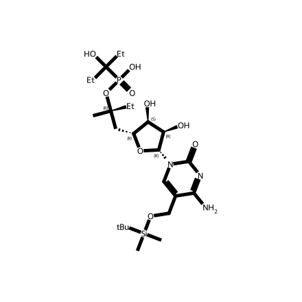 CCC(O)(CC)P(=O)(O)O[C@](C)(CC)C[C@H]1O[C@@H](n2cc(CO[Si](C)(C)C(C)(C)C)c(N)nc2=O)[C@H](O)[C@@H]1O